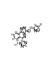 CCn1ncnc1-c1nn2c(OCc3cc(C)on3)nnc2c2ccccc12